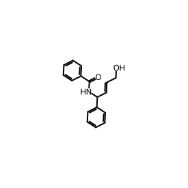 O=C(NC(C=CCO)c1ccccc1)c1ccccc1